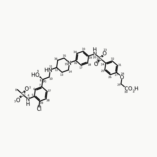 CS(=O)(=O)Nc1cc([C@@H](O)CNC2CCN(c3ccc(NS(=O)(=O)c4ccc(OCC(=O)O)cc4)cc3)CC2)ccc1Cl